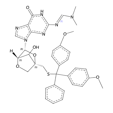 COc1ccc(C(SC[C@]23CO[C@@H](C2O)[C@H](n2cnc4c(=O)[nH]c(/N=C/N(C)C)nc42)O3)(c2ccccc2)c2ccc(OC)cc2)cc1